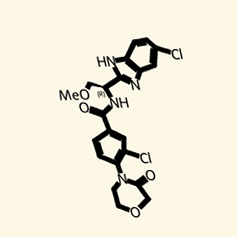 COC[C@H](NC(=O)c1ccc(N2CCOCC2=O)c(Cl)c1)c1nc2cc(Cl)ccc2[nH]1